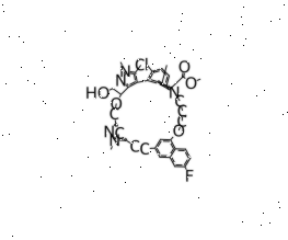 COC(=O)c1c(C)c2c3c(Cl)ccc2n1CCCOc1cc(cc2cc(F)ccc12)CCc1cc(nn1C)COC(CO)c1nn(C)c(C)c1-3